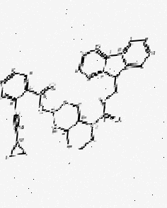 CCN(C(=O)OCC1c2ccccc2-c2ccccc21)C1CCC(OC(=O)c2ccccc2C#CC2CC2)OC1C